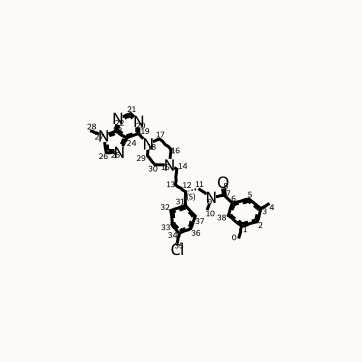 Cc1cc(C)cc(C(=O)N(C)C[C@@H](CCN2CCN(c3ncnc4c3ncn4C)CC2)c2ccc(Cl)cc2)c1